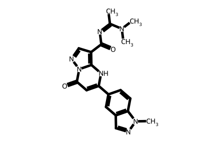 C/C(=N/C(=O)c1cnn2c(=O)cc(-c3ccc4c(cnn4C)c3)[nH]c12)N(C)C